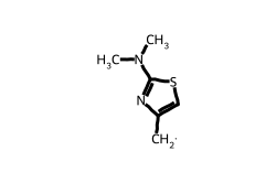 [CH2]c1csc(N(C)C)n1